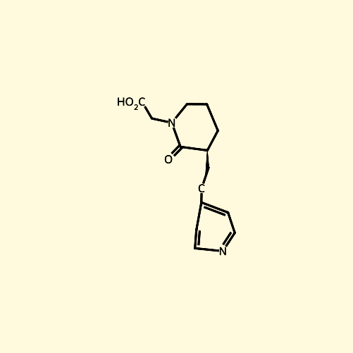 O=C(O)CN1CCC[C@@H](CCc2ccncc2)C1=O